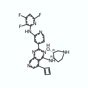 O[C@@H]1CNCC[C@H]1Nc1nc(-c2ccnc(Nc3nc(F)cc(F)c3F)c2)nc2cncc(C3=CC=C3)c12